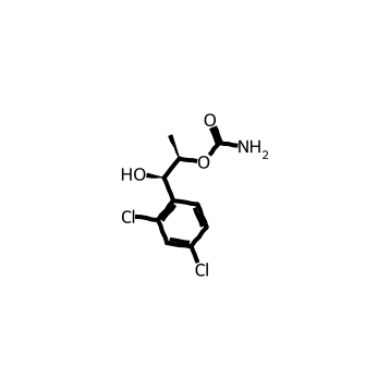 C[C@@H](OC(N)=O)[C@H](O)c1ccc(Cl)cc1Cl